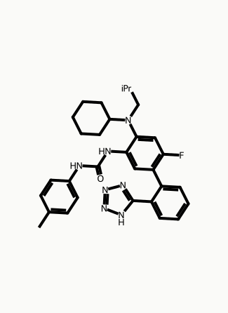 Cc1ccc(NC(=O)Nc2cc(-c3ccccc3-c3nnn[nH]3)c(F)cc2N(CC(C)C)C2CCCCC2)cc1